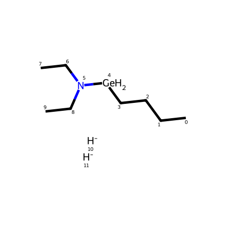 CCC[CH2][GeH2][N](CC)CC.[H-].[H-]